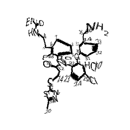 CCC(=O)NCCc1cccc(N(C(=O)CSc2nnc(C)s2)c2ccc(Cl)cc2Oc2cccc(CN)c2)c1F.Cl